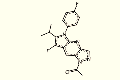 CC(=O)n1ncc2nc3c(cc21)c(I)c(C(C)C)n3-c1ccc(F)cc1